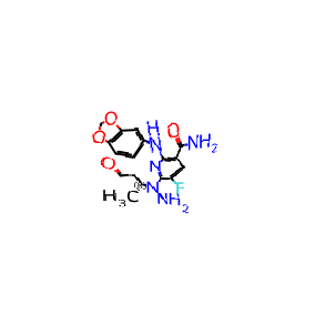 C[C@H](CC=O)N(N)c1nc(Nc2ccc3c(c2)OCO3)c(C(N)=O)cc1F